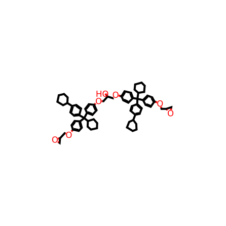 OC(COc1ccc(C(c2ccc(OCC3CO3)cc2)(c2ccc(C3CCCCC3)cc2)C2CCCCC2)cc1)COc1ccc(C(c2ccc(OCC3CO3)cc2)(c2ccc(C3CCCCC3)cc2)C2CCCCC2)cc1